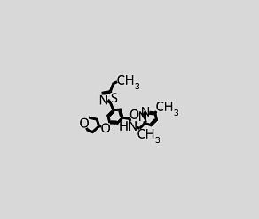 CCc1cnc(-c2cc(OC3CCOCC3)cc(C(=O)NC(C)c3ccc(C)nn3)c2)s1